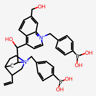 C=CC1C[N+]2(Cc3ccc(B(O)O)cc3)CCC1CC2C(O)c1cc[n+](Cc2ccc(B(O)O)cc2)c2cc(CO)ccc12